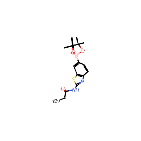 CC(C)(C)CC(=O)Nc1nc2ccc(B3OC(C)(C)C(C)(C)O3)cc2s1